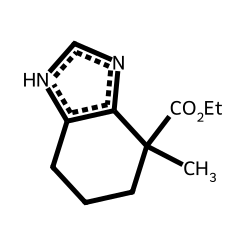 CCOC(=O)C1(C)CCCc2[nH]cnc21